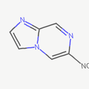 [C-]#[N+]c1cn2ccnc2cn1